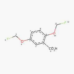 O=C(O)c1cc(OCF)ccc1OCF